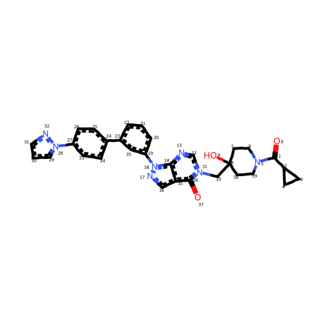 O=C(C1CC1)N1CCC(O)(Cn2cnc3c(cnn3-c3cccc(-c4ccc(-n5cccn5)cc4)c3)c2=O)CC1